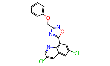 Clc1cnc2c(-c3nc(COc4ccccc4)no3)cc(Cl)cc2c1